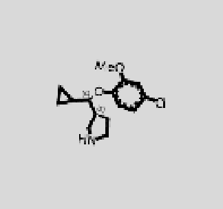 COc1cc(Cl)ccc1O[C@@H](C1CC1)[C@H]1CCNC1